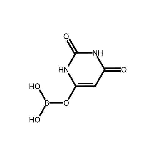 O=c1cc(OB(O)O)[nH]c(=O)[nH]1